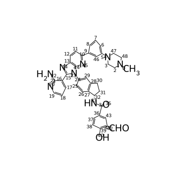 CN1CCN(c2cccc(-c3ccc4nc(-c5cccnc5N)n(-c5ccc6c(c5)CC[C@@H]6NC(=O)c5ccc(O)c(C=O)c5)c4n3)c2)CC1